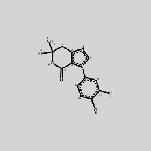 CCC1(C)Cc2ncn(-c3ccc(Cl)c(Cl)c3)c2C(=O)O1